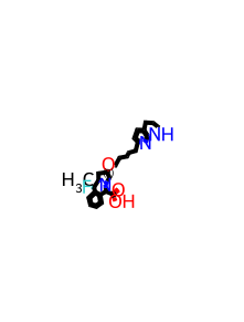 CC1(F)c2ccccc2C(C(=O)O)N2C[C@H](OCCCCCc3ccc4c(n3)NCCC4)CC21